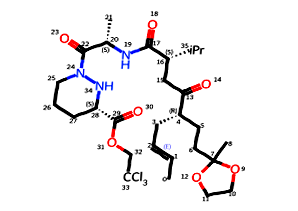 C/C=C/C[C@@H](CCC1(C)OCCO1)C(=O)C[C@H](C(=O)N[C@@H](C)C(=O)N1CCC[C@@H](C(=O)OCC(Cl)(Cl)Cl)N1)C(C)C